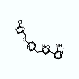 Nc1ncccc1-c1cc(Cc2ccc(OCc3csc(Cl)n3)nc2)no1